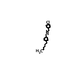 C=CCCCCc1ccc(C=NN=Cc2ccc(Cl)cc2)cc1